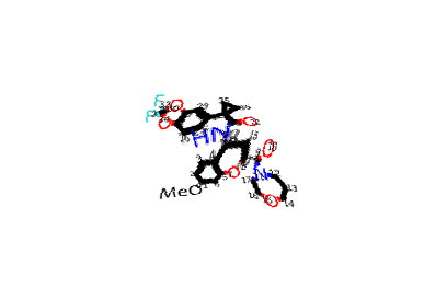 COc1ccc2c(c1)O[C@@H](C(=O)N1CCCOCC1)C[C@H]2NC(=O)C1(c2ccc3c(c2)OC(F)(F)O3)CC1